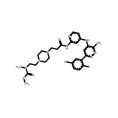 COC(=O)N(C)CCN1CCN(CCC(=O)Nc2cc(Nc3cc(-c4cc(Cl)ccc4F)nnc3C)ccn2)CC1